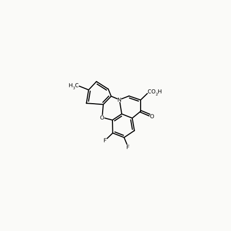 Cc1ccc2c(c1)Oc1c(F)c(F)cc3c(=O)c(C(=O)O)cn-2c13